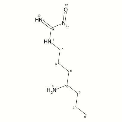 CCCC(N)CCCNC(=N)N=O